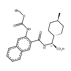 CC(C)(C)OC(=O)Nc1cc2ccccc2cc1C(=O)N[C@H](C(=O)O)[C@H]1CC[C@H](C)CC1